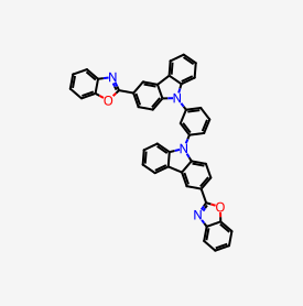 c1cc(-n2c3ccccc3c3cc(-c4nc5ccccc5o4)ccc32)cc(-n2c3ccccc3c3cc(-c4nc5ccccc5o4)ccc32)c1